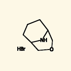 Br.C1CC2COCC(C1)N2